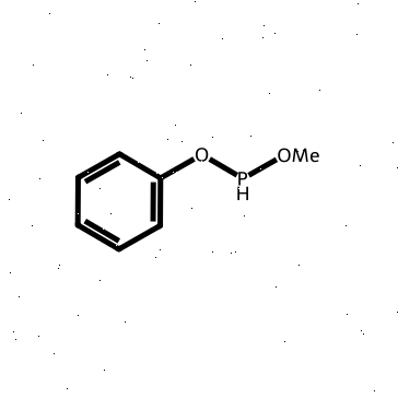 COPOc1ccccc1